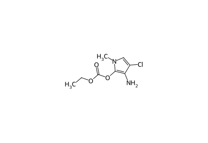 CCOC(=O)Oc1c(N)c(Cl)cn1C